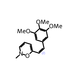 COc1cc(/C=C\C2=CC=CN(C)O2)cc(OC)c1OC